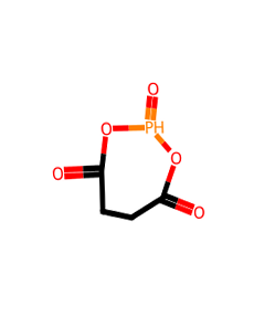 O=C1CCC(=O)O[PH](=O)O1